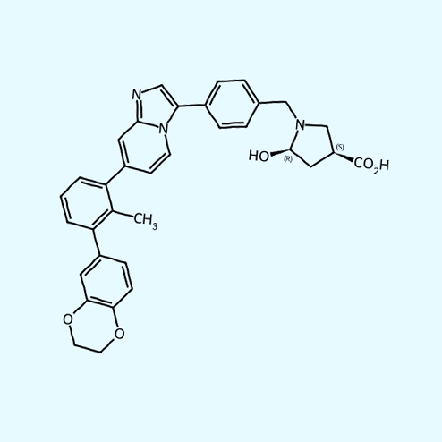 Cc1c(-c2ccc3c(c2)OCCO3)cccc1-c1ccn2c(-c3ccc(CN4C[C@@H](C(=O)O)C[C@H]4O)cc3)cnc2c1